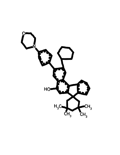 CC1(C)CC(C)(C)CC2(C1)c1ccccc1-c1c2cc(O)c2cc(-c3ccc(N4CCOCC4)cc3)c(C3CCCCC3)cc12